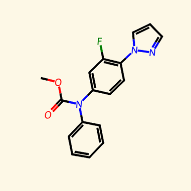 COC(=O)N(c1ccccc1)c1ccc(-n2cccn2)c(F)c1